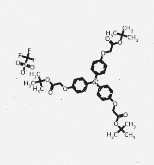 CC(C)(C)OC(=O)COc1ccc([S+](c2ccc(OCC(=O)OC(C)(C)C)cc2)c2ccc(OCC(=O)OC(C)(C)C)cc2)cc1.O=S(=O)([O-])C(F)(F)F